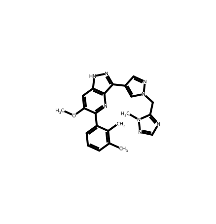 COc1cc2[nH]nc(-c3cnn(Cc4ncnn4C)c3)c2nc1-c1cccc(C)c1C